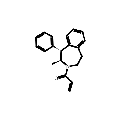 C=CC(=O)N1CCc2ccccc2[C@@H](c2ccccc2)[C@@H]1C